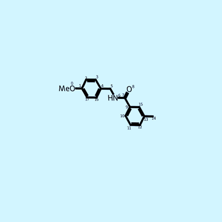 COc1ccc(CNC(=O)c2cccc(C)c2)cc1